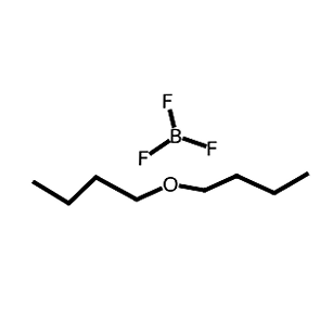 CCCCOCCCC.FB(F)F